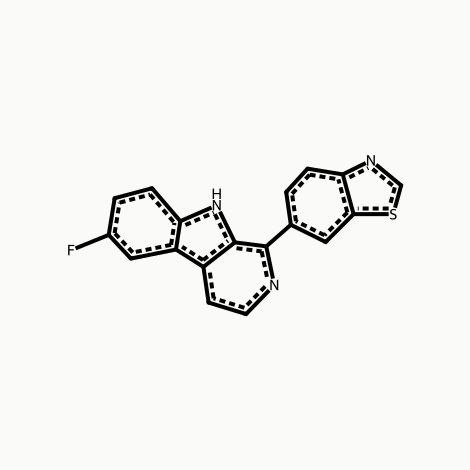 Fc1ccc2[nH]c3c(-c4ccc5ncsc5c4)nccc3c2c1